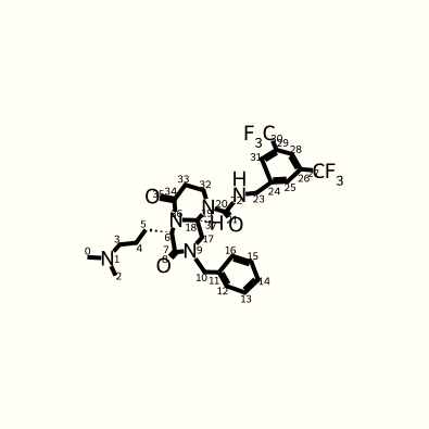 CN(C)CCC[C@H]1C(=O)N(Cc2ccccc2)C[C@@H]2N(C(=O)NCc3cc(C(F)(F)F)cc(C(F)(F)F)c3)CCC(=O)N21